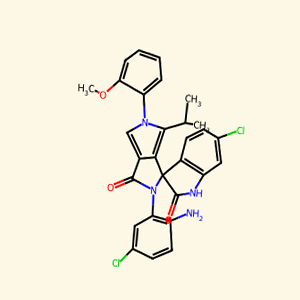 COc1ccccc1-n1cc2c(c1C(C)C)C1(C(=O)Nc3cc(Cl)ccc31)N(c1cc(Cl)ccc1N)C2=O